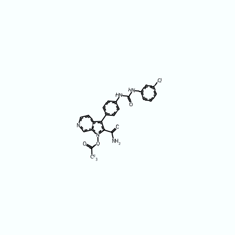 NC(=O)c1c(-c2ccc(NC(=O)Nc3cccc(Cl)c3)cc2)c2ccncc2n1OC(=O)C(F)(F)F